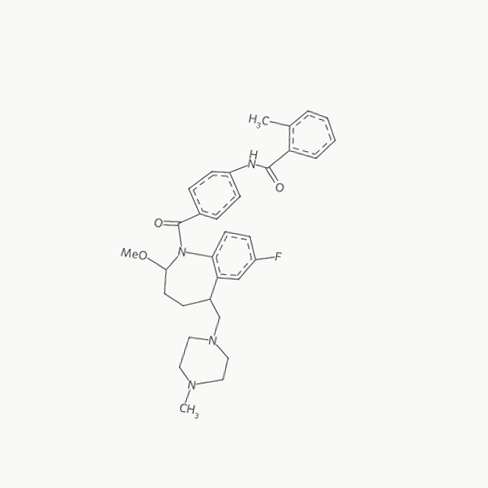 COC1CCC(CN2CCN(C)CC2)c2cc(F)ccc2N1C(=O)c1ccc(NC(=O)c2ccccc2C)cc1